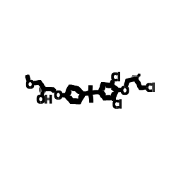 COC[C@H](O)COc1ccc(C(C)(C)c2cc(Cl)c(OC[C@H](C)CCl)c(Cl)c2)cc1